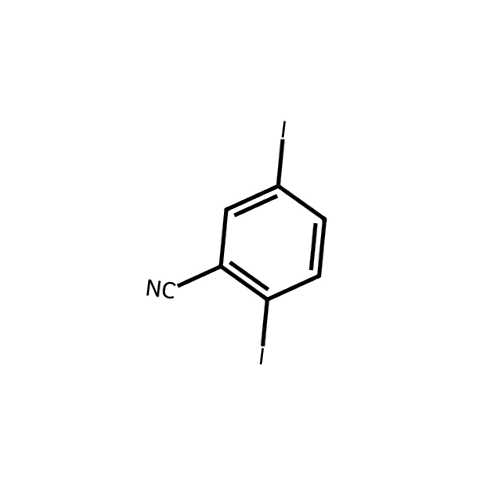 N#Cc1cc(I)ccc1I